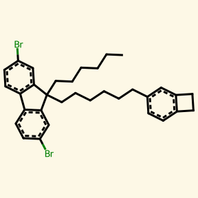 CCCCCCC1(CCCCCCc2ccc3c(c2)CC3)c2cc(Br)ccc2-c2ccc(Br)cc21